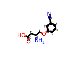 N#Cc1cccc(OC[C@H](N)CC(=O)O)c1